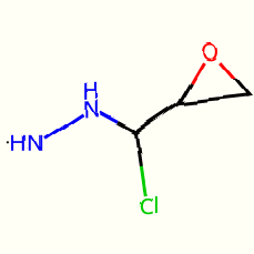 [NH]NC(Cl)C1CO1